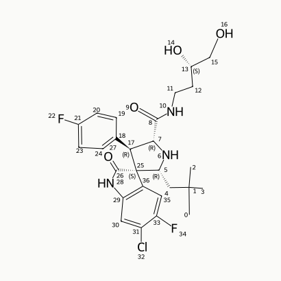 CC(C)(C)C[C@H]1N[C@@H](C(=O)NCC[C@H](O)CO)[C@H](c2ccc(F)cc2)[C@@]12C(=O)Nc1cc(Cl)c(F)cc12